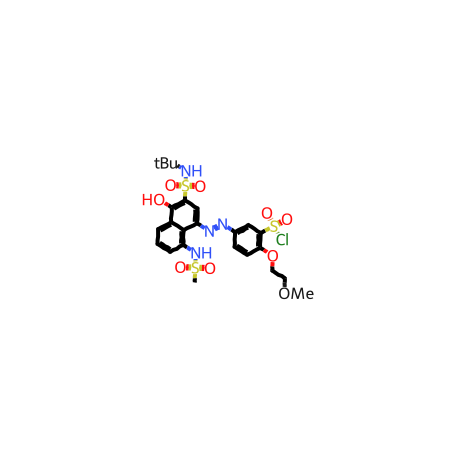 COCCOc1ccc(/N=N/c2cc(S(=O)(=O)NC(C)(C)C)c(O)c3cccc(NS(C)(=O)=O)c23)cc1S(=O)(=O)Cl